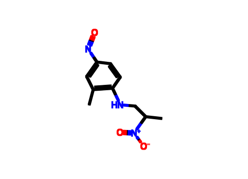 Cc1cc(N=O)ccc1NCC(C)[N+](=O)[O-]